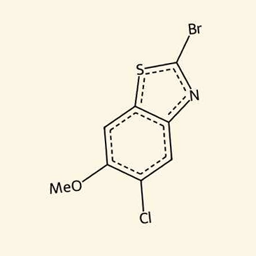 COc1cc2sc(Br)nc2cc1Cl